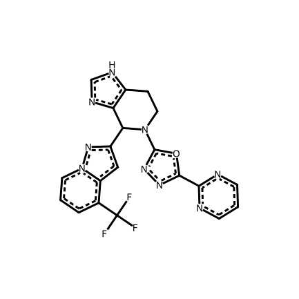 FC(F)(F)c1cccn2nc(C3c4nc[nH]c4CCN3c3nnc(-c4ncccn4)o3)cc12